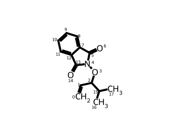 C=CC(ON1C(=O)c2ccccc2C1=O)C(C)C